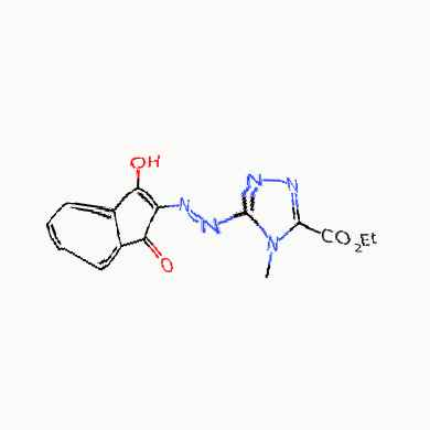 CCOC(=O)c1nnc(N=NC2=C(O)c3ccccc3C2=O)n1C